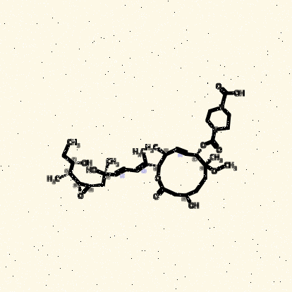 CC[C@H](O)[C@@H](C)[C@H]1O[C@@H]1C[C@@](C)(O)/C=C/C=C(\C)[C@H]1OC(=O)C[C@H](O)CC[C@@](C)(OC)[C@@H](OC(=O)N2CCN(C(=O)O)CC2)/C=C/[C@@H]1C